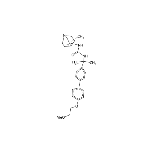 COCCOc1ccc(-c2ccc(C(C)(C)NC(=O)N[C@]3(C)CN4CCC3CC4)cc2)cc1